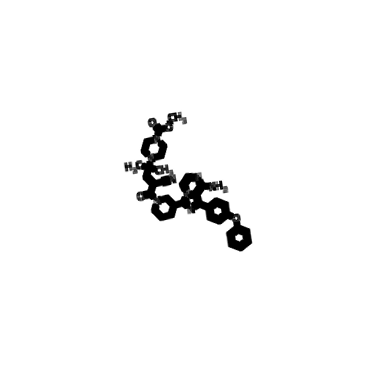 COC(=O)N1CCN(C(C)(C)/C=C(\C#N)C(=O)N2CCCC(c3nc(-c4ccc(Oc5ccccc5)cc4)c4c(N)nccn34)C2)CC1